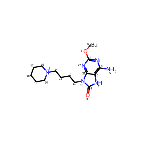 CCC(C)Oc1nc(N)c2[nH]c(=O)n(CCCCN3CCCCC3)c2n1